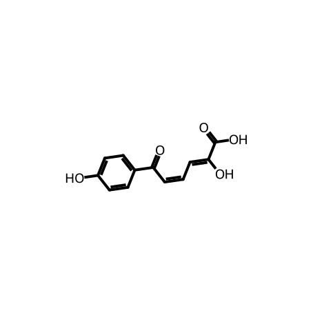 O=C(O)/C(O)=C/C=C\C(=O)c1ccc(O)cc1